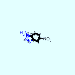 Nn1nnc2cc([N+](=O)[O-])ccc21